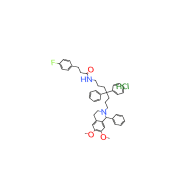 COc1cc2c(cc1OC)C(c1ccccc1)N(CCCC(CCCNC(=O)CCc1ccc(F)cc1)(c1ccccc1)c1ccccc1)CC2.Cl